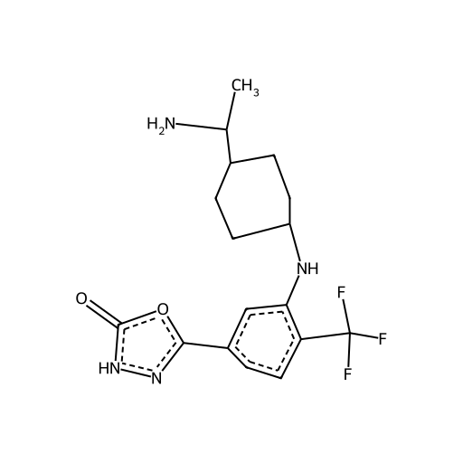 CC(N)C1CCC(Nc2cc(-c3n[nH]c(=O)o3)ccc2C(F)(F)F)CC1